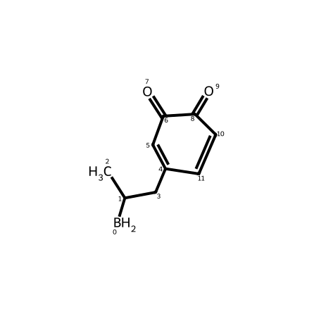 BC(C)CC1=CC(=O)C(=O)C=C1